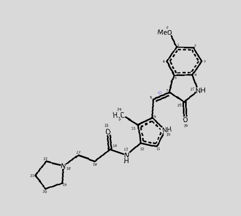 COc1ccc2c(c1)/C(=C/c1[nH]cc(NC(=O)CCN3CCCC3)c1C)C(=O)N2